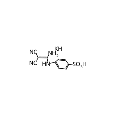 N#CC(C#N)=C(N)Nc1ccc(S(=O)(=O)O)cc1.[KH]